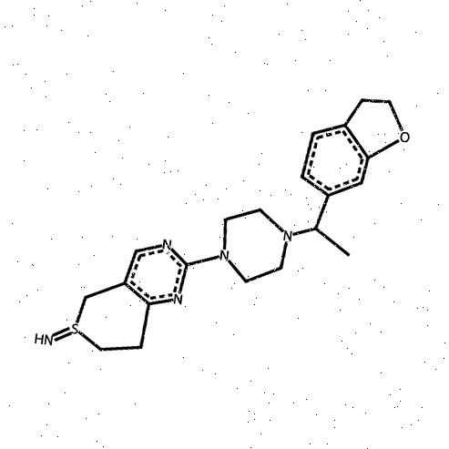 CC(c1ccc2c(c1)OCC2)N1CCN(c2ncc3c(n2)CCS(=N)C3)CC1